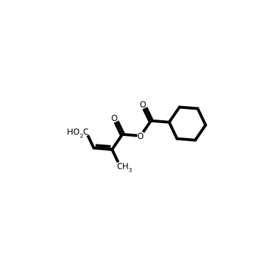 C/C(=C/C(=O)O)C(=O)OC(=O)C1CCCCC1